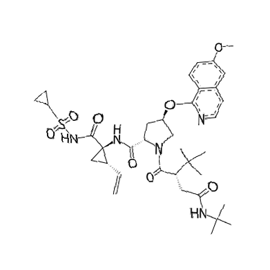 C=C[C@@H]1C[C@]1(NC(=O)[C@@H]1C[C@@H](Oc2nccc3cc(OC)ccc23)CN1C(=O)[C@@H](CC(=O)NC(C)(C)C)C(C)(C)C)C(=O)NS(=O)(=O)C1CC1